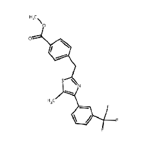 COC(=O)c1ccc(Cc2nc(-c3cccc(C(F)(F)F)c3)c(C)s2)cc1